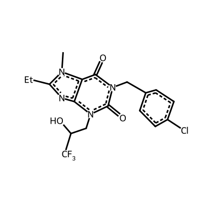 CCc1nc2c(c(=O)n(Cc3ccc(Cl)cc3)c(=O)n2CC(O)C(F)(F)F)n1C